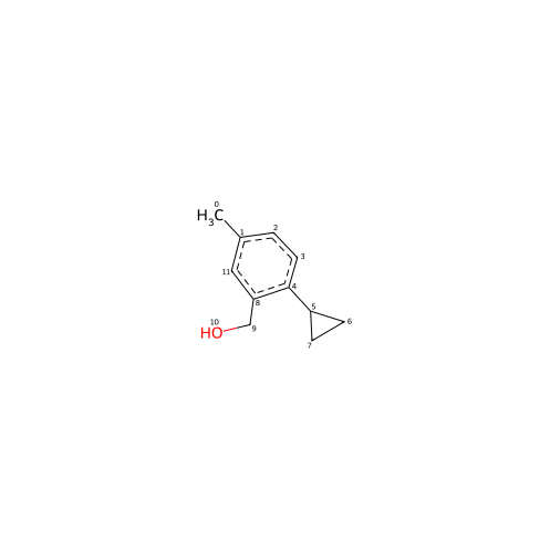 Cc1ccc(C2CC2)c(CO)c1